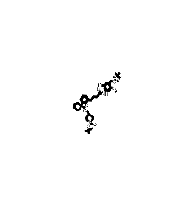 COc1cc(NC(=O)CCCc2cccc(C3(C(=O)OCC4CCN(C(=O)OC(C)(C)C)CC4)CCCCC3)c2)c(Cl)cc1CO[Si](C)(C)C(C)(C)C